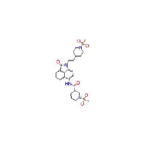 CS(=O)(=O)N1CCC(CCN2C(=O)c3cccc4c(NC(=O)C5CCCN(S(C)(=O)=O)C5)ccc2c34)CC1